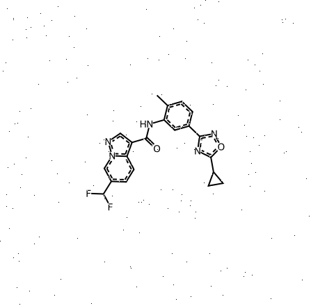 Cc1ccc(-c2noc(C3CC3)n2)cc1NC(=O)c1cnn2cc(C(F)F)ccc12